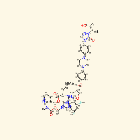 CC[C@@H]([C@H](C)O)n1ncn(-c2ccc(N3CCN(c4ccc(OC[C@@H]5CO[C@@](Cn6c[n+](C(C)OC(=O)N(C)c7ncccc7COC(=O)[C@@H](N)CCNC)cn6)(c6ccc(F)cc6F)C5)cc4)CC3)cc2)c1=O